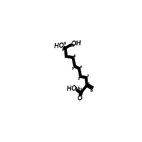 C=C(CCCCCCC(O)O)C(=O)O